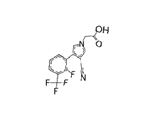 N#Cc1cn(CC(=O)O)cc1-c1cccc(C(F)(F)F)c1F